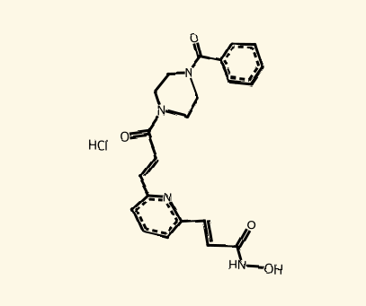 Cl.O=C(C=Cc1cccc(C=CC(=O)N2CCN(C(=O)c3ccccc3)CC2)n1)NO